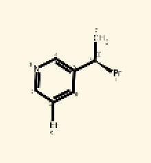 CCc1cncc([C@@H](C)C(C)C)c1